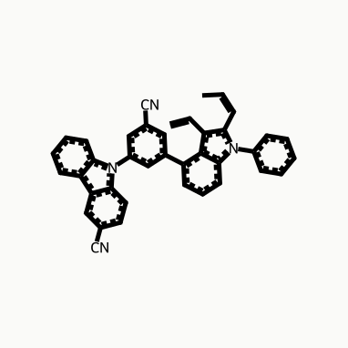 C=Cc1c(/C=C\C)n(-c2ccccc2)c2cccc(-c3cc(C#N)cc(-n4c5ccccc5c5cc(C#N)ccc54)c3)c12